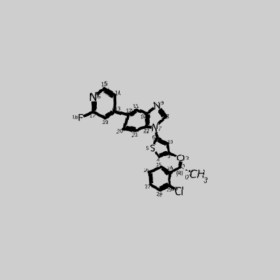 C[C@@H](Oc1csc(-n2cnc3cc(-c4ccnc(F)c4)ccc32)c1)c1ccccc1Cl